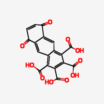 O=C1C=CC(=O)c2cc3c(C(=O)O)c(C(=O)O)c(C(=O)O)c(C(=O)O)c3cc21